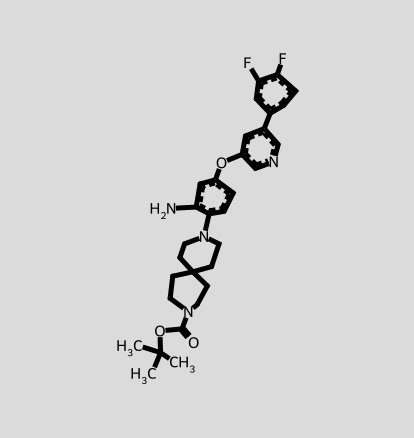 CC(C)(C)OC(=O)N1CCC2(CC1)CCN(c1ccc(Oc3cncc(-c4ccc(F)c(F)c4)c3)cc1N)CC2